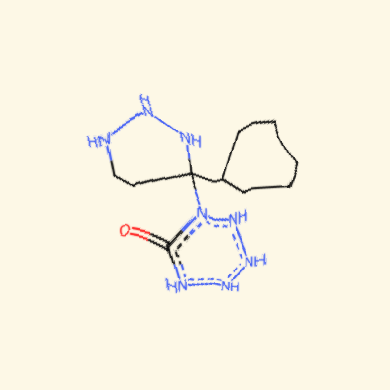 O=c1[nH][nH][nH][nH]n1C1(C2CCCCC2)CCNNN1